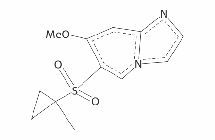 COc1cc2nccn2cc1S(=O)(=O)C1(C)CC1